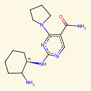 NC(=O)c1cnc(N[C@@H]2CCCCC2N)nc1N1CCCC1